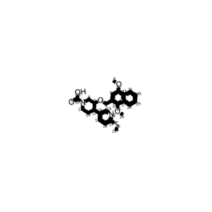 COc1cc(COC2CN(C(=O)O)CCC2c2ccc(SC)nc2)c(OC)c2ccccc12